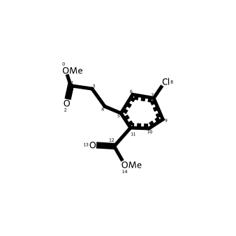 COC(=O)CCc1cc(Cl)ccc1C(=O)OC